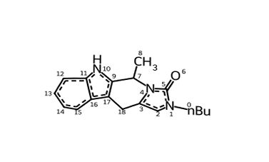 CCCCn1cc2n(c1=O)C(C)c1[nH]c3ccccc3c1C2